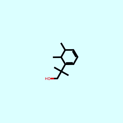 CC1C=CC=C(C(C)(C)CO)C1C